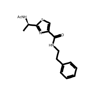 CC(=O)N[C@H](C)c1nc(C(=O)NCCc2ccccc2)cs1